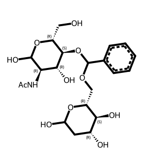 CC(=O)N[C@H]1C(O)O[C@H](CO)[C@@H](OC(OC[C@H]2OC(O)C[C@@H](O)[C@@H]2O)c2ccccc2)[C@@H]1O